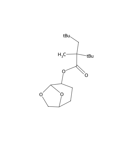 CC(C)(C)CC(C)(C(=O)OC1CCC2COC1O2)C(C)(C)C